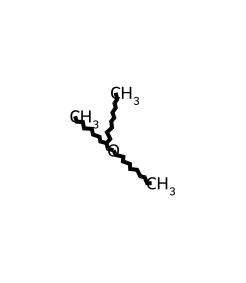 CCCCCCCCCCOCC(CCCCCCCC)CCCCCCCCCC